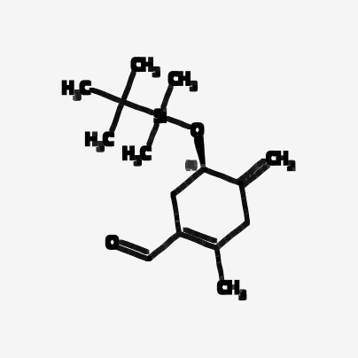 C=C1CC(C)=C(C=O)C[C@H]1O[Si](C)(C)C(C)(C)C